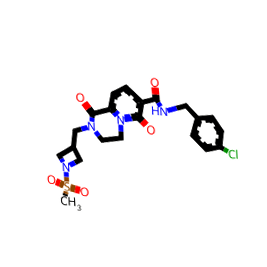 CS(=O)(=O)N1CC(CN2CCn3c(ccc(C(=O)NCc4ccc(Cl)cc4)c3=O)C2=O)C1